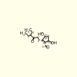 CCC(CC)C(=O)CC[C@H]1[C@@H](C=O)[C@H](O)C[C@@H]1O